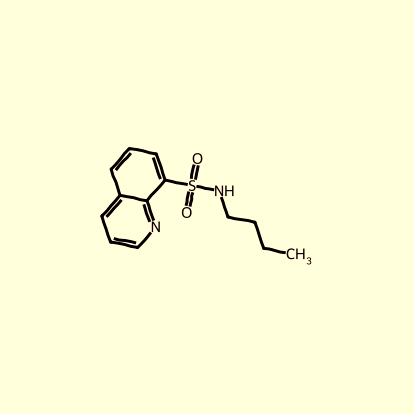 CCCCNS(=O)(=O)c1cccc2cccnc12